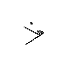 C=O.CCCCCCCCCCCCCCCc1cc2ccccc2c(S(=O)(=O)[O-])c1CCCCCCCCCCCCCCC.[Na+]